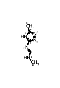 CN/C=N/c1nnc(C)[nH]1